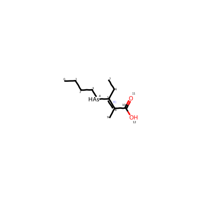 CCCC[AsH]/C(CC)=C(\C)C(=O)O